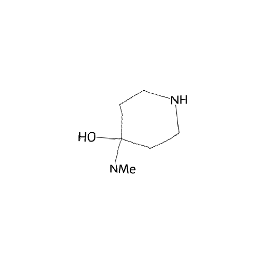 CNC1(O)CCNCC1